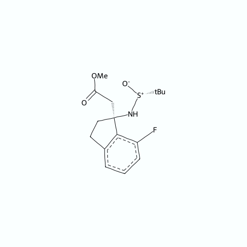 COC(=O)C[C@@]1(N[S@+]([O-])C(C)(C)C)CCc2cccc(F)c21